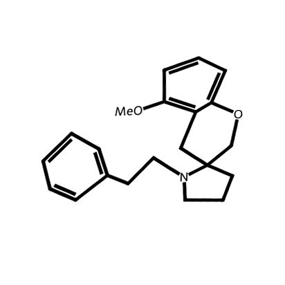 COc1cccc2c1CC1(CCCN1CCc1ccccc1)CO2